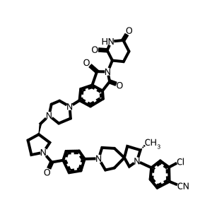 C[C@H]1CC2(CCN(c3ccc(C(=O)N4CC[C@@H](CN5CCN(c6ccc7c(c6)C(=O)N(C6CCC(=O)NC6=O)C7=O)CC5)C4)cc3)CC2)CN1c1ccc(C#N)c(Cl)c1